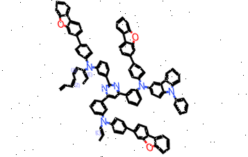 C=C\C=C/C=C\C(=C/C)N(c1ccc(-c2ccc3c(c2)oc2ccccc23)cc1)c1cccc(-c2nc(-c3cccc(N(/C=C/C)c4ccc(-c5ccc6c(c5)oc5ccccc56)cc4)c3)cc(-c3cccc(N(c4ccc(-c5ccc6c(c5)oc5ccccc56)cc4)c4ccc5c(c4)c4ccccc4n5-c4ccccc4)c3)n2)c1